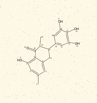 Cc1cc(O)c2c(c1)CC(c1cc(O)c(O)c(O)c1)C(C)C2=O